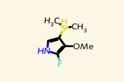 COc1c([SH](C)C)c[nH]c1F